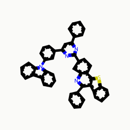 c1ccc(-c2cc(-c3cccc(-n4c5ccccc5c5ccccc54)c3)nc(-c3ccc4c(c3)nc(-c3ccccc3)c3c5ccccc5sc43)n2)cc1